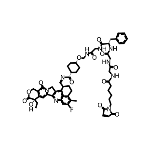 CC[C@@]1(O)C(=O)OCc2c1cc1n(c2=O)Cc2c-1nc1cc(F)c(C)c3c1c2C(/C=N\C(=O)[C@H]1CC[C@@H](OCNC(=O)CNC(=O)[C@H](Cc2ccccc2)NC(=O)CNC(=O)CNC(=O)CCCCCN2C(=O)C=CC2=O)CC1)CC3